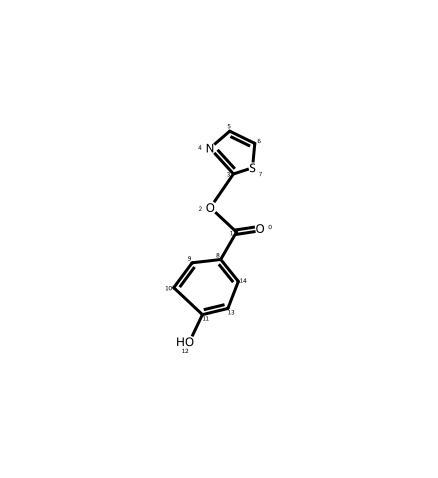 O=C(Oc1nccs1)c1ccc(O)cc1